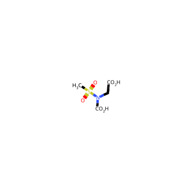 CS(=O)(=O)N(CC(=O)O)C(=O)O